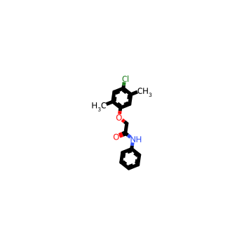 Cc1cc(OCC(=O)Nc2ccccc2)c(C)cc1Cl